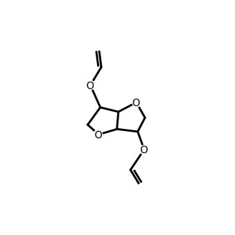 C=COC1COC2C(OC=C)COC12